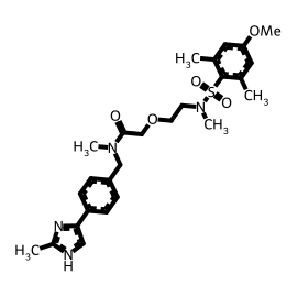 COc1cc(C)c(S(=O)(=O)N(C)CCOCC(=O)N(C)Cc2ccc(-c3c[nH]c(C)n3)cc2)c(C)c1